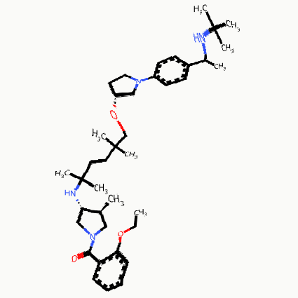 CCOc1ccccc1C(=O)N1C[C@H](NC(C)(C)CCC(C)(C)CO[C@@H]2CCN(c3ccc(C(C)NC(C)(C)C)cc3)C2)[C@@H](C)C1